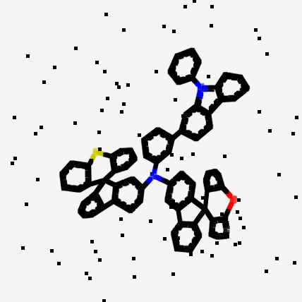 c1ccc(-n2c3ccccc3c3ccc(-c4cccc(N(c5ccc6c(c5)-c5ccccc5C65c6ccccc6Oc6ccccc65)c5ccc6c(c5)C5(c7ccccc7Sc7ccccc75)c5ccccc5-6)c4)cc32)cc1